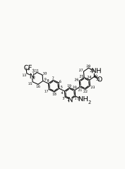 Nc1ncc(-c2ccc(C3CCN(CC(F)(F)F)CC3)cc2)cc1-c1ccc2c(c1)CCNC2=O